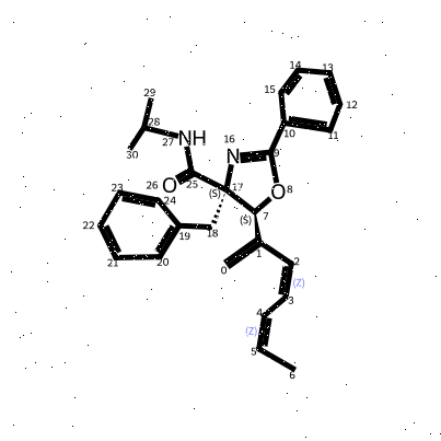 C=C(/C=C\C=C/C)[C@@H]1OC(c2ccccc2)=N[C@]1(Cc1ccccc1)C(=O)NC(C)C